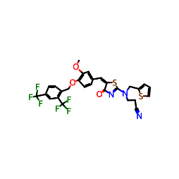 COc1cc(C=C2SC(N(CCC#N)Cc3cccs3)=NC2=O)ccc1OCc1ccc(C(F)(F)F)cc1C(F)(F)F